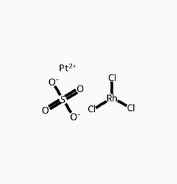 O=S(=O)([O-])[O-].[Cl][Rh]([Cl])[Cl].[Pt+2]